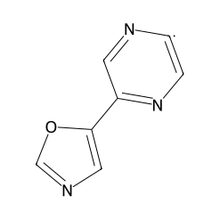 [c]1cnc(-c2cnco2)cn1